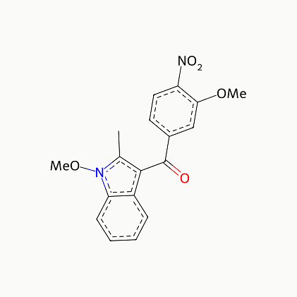 COc1cc(C(=O)c2c(C)n(OC)c3ccccc23)ccc1[N+](=O)[O-]